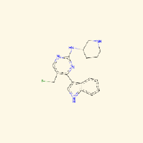 FCc1cnc(N[C@H]2CCCNC2)nc1-c1c[nH]c2ccccc12